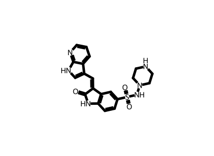 O=C1Nc2ccc(S(=O)(=O)NN3CCNCC3)cc2C1=Cc1c[nH]c2ncccc12